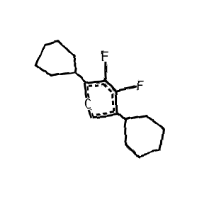 Fc1c(C2CCCCC2)ccc(C2CCCCC2)c1F